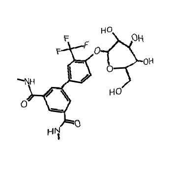 CNC(=O)c1cc(C(=O)NC)cc(-c2ccc(OC3OC(CO)C(O)C(O)C3O)c(C(F)(F)F)c2)c1